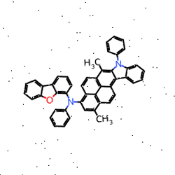 Cc1cc(N(c2ccccc2)c2cccc3c2oc2ccccc23)c2ccc3c(C)c4c(c5ccc1c2c35)c1ccccc1n4-c1ccccc1